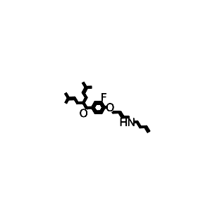 C=CCCNCC=CCOc1ccc(C(=O)C(CC=C(C)C)CC=C(C)C)cc1F